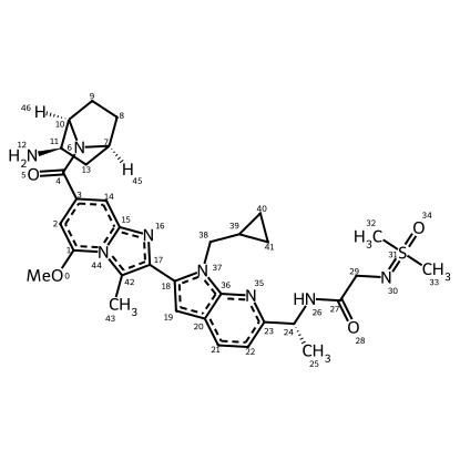 COc1cc(C(=O)N2[C@H]3CC[C@@H]2[C@H](N)C3)cc2nc(-c3cc4ccc([C@@H](C)NC(=O)CN=S(C)(C)=O)nc4n3CC3CC3)c(C)n12